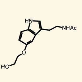 CC(=O)NCCc1c[nH]c2ccc(OCCO)cc12